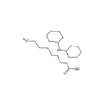 C1CCC(NC2CCCCC2)CC1.CCCCCCCCC(=O)O